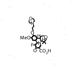 COc1cc2c(cc1OCCCN1CCOCC1)[C@H]1CCOCC(C)(C)[C@H]1n1cc(C(=O)O)c(=O)c(F)c1-2